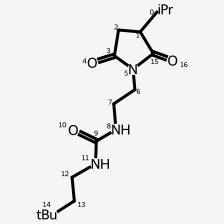 CC(C)C1CC(=O)N(CCNC(=O)NCCC(C)(C)C)C1=O